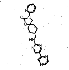 O=C1O[C@]2(CC[C@H](CNc3ncc(-c4cnccn4)cn3)CC2)CN1c1ccccn1